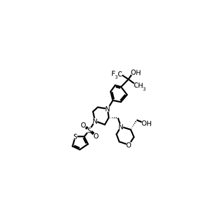 CC(O)(c1ccc(N2CCN(S(=O)(=O)c3cccs3)C[C@H]2CN2CCOC[C@H]2CO)cc1)C(F)(F)F